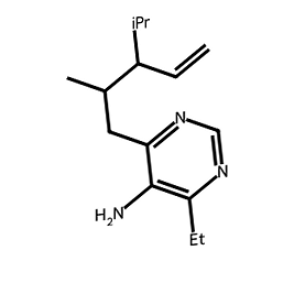 C=CC(C(C)C)C(C)Cc1ncnc(CC)c1N